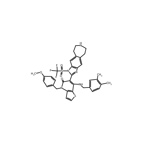 COc1ccc(Cn2c(=O)c(-c3nc4cc5c(cc4n3S(=O)(=O)C(F)(F)F)CCNCC5)c(NCc3ccc(C)c(C)c3)c3sccc32)cc1